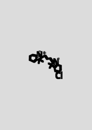 CN1/C(=C/C=C/C2=[N+](C)c3ccccc3C2(C)C)C(C)(C)c2cc(Cl)ccc21